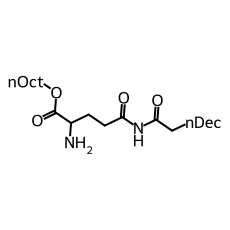 CCCCCCCCCCCC(=O)NC(=O)CCC(N)C(=O)OCCCCCCCC